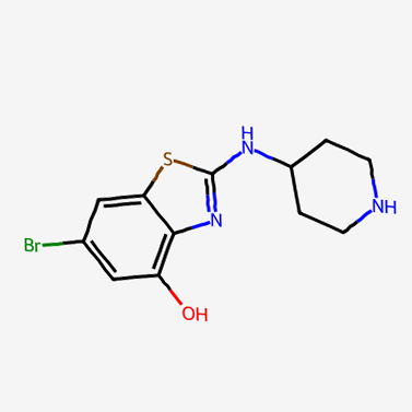 Oc1cc(Br)cc2sc(NC3CCNCC3)nc12